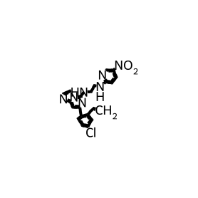 C=Cc1cc(Cl)ccc1-c1cc2nccn2c(NCCNc2ccc([N+](=O)[O-])cn2)n1